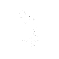 CC(C)(C)OC(=O)N1CCC(F)(c2nc3ccccc3o2)CC1